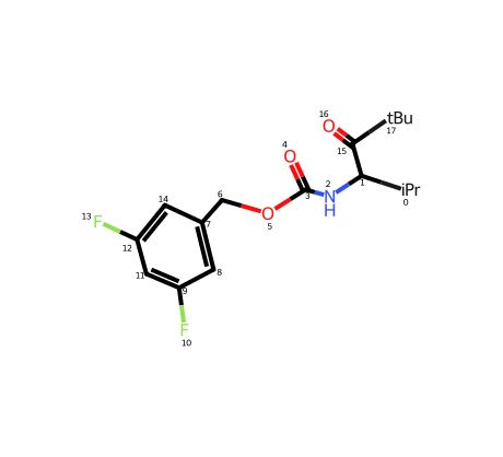 CC(C)C(NC(=O)OCc1cc(F)cc(F)c1)C(=O)C(C)(C)C